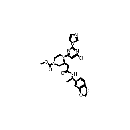 COC(=O)N1CCN(c2cc(Cl)nc(-n3ccnc3)n2)C(CC(=O)NC(C)c2ccc3c(c2)OCO3)C1